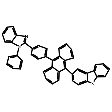 c1ccc(-n2c(-c3ccc(-c4c5ccccc5c(-c5ccc6sc7ccccc7c6c5)c5ccccc45)cc3)nc3ccccc32)cc1